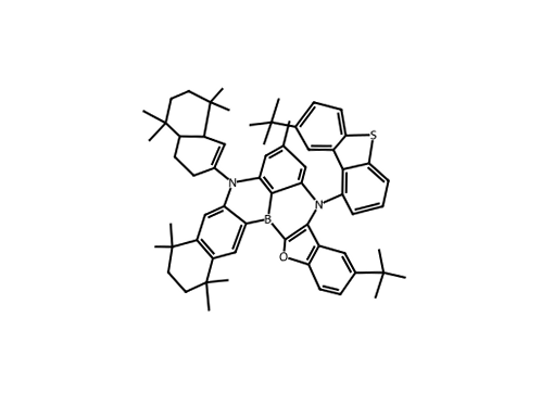 Cc1cc2c3c(c1)N(c1cccc4sc5ccc(C(C)(C)C)cc5c14)c1c(oc4ccc(C(C)(C)C)cc14)B3c1cc3c(cc1N2C1=CC2C(CC1)C(C)(C)CCC2(C)C)C(C)(C)CCC3(C)C